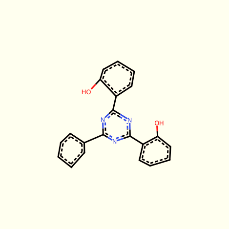 Oc1ccccc1-c1nc(-c2ccccc2)nc(-c2ccccc2O)n1